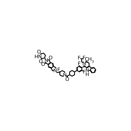 C[C@@H]1Cc2c([nH]c3ccccc23)[C@@H](c2c(F)cc(C3CCC(C(=O)N4CCC(F)(CN5Cc6cc7c(cc6C5)C(=O)N(C5CCC(=O)NC5=O)C7=O)CC4)CC3)cc2F)N1CC(F)F